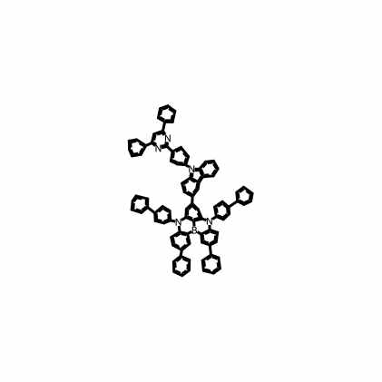 c1ccc(-c2ccc(N3c4ccc(-c5ccccc5)cc4B4c5cc(-c6ccccc6)ccc5N(c5ccc(-c6ccccc6)cc5)c5cc(-c6ccc7c(c6)c6ccccc6n7-c6ccc(-c7nc(-c8ccccc8)cc(-c8ccccc8)n7)cc6)cc3c54)cc2)cc1